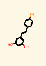 Oc1cc(O)cc(/C=C/c2ccc(P)cc2)c1